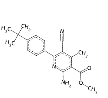 COC(=O)c1c(N)nc(-c2ccc(C(C)(C)C)cc2)c(C#N)c1C